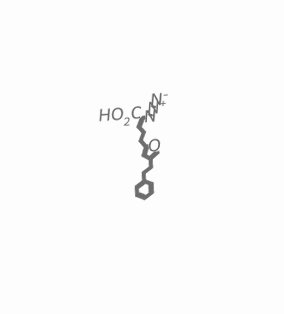 [N-]=[N+]=NC(=CCCc1cc(CCc2ccccc2)co1)C(=O)O